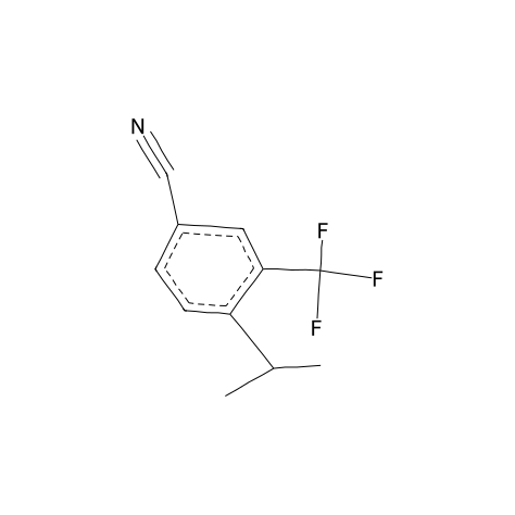 CC(C)c1ccc(C#N)cc1C(F)(F)F